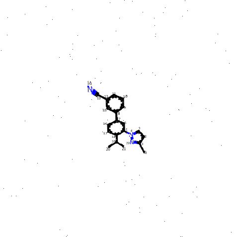 Cc1ccn(-c2cc(-c3cccc(C#N)c3)ccc2C(C)C)n1